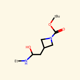 CCNC(O)CC1CN(C(=O)OC(C)(C)C)C1